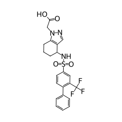 O=C(O)Cn1ncc2c1CCCC2NS(=O)(=O)c1ccc(-c2ccccc2)c(C(F)(F)F)c1